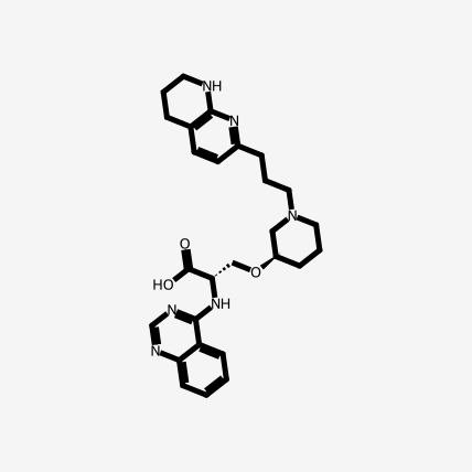 O=C(O)[C@H](CO[C@@H]1CCCN(CCCc2ccc3c(n2)NCCC3)C1)Nc1ncnc2ccccc12